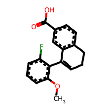 COc1cccc(F)c1C1=CCCc2ccc(C(=O)O)cc21